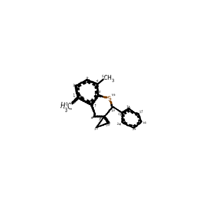 Cc1ccc(C)c2c1CC1(CC1)C(c1ccccc1)S2